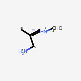 C/C(=C/NC=O)CN